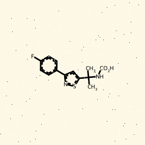 CC(C)(NC(=O)O)c1cc(-c2ccc(F)cc2)ns1